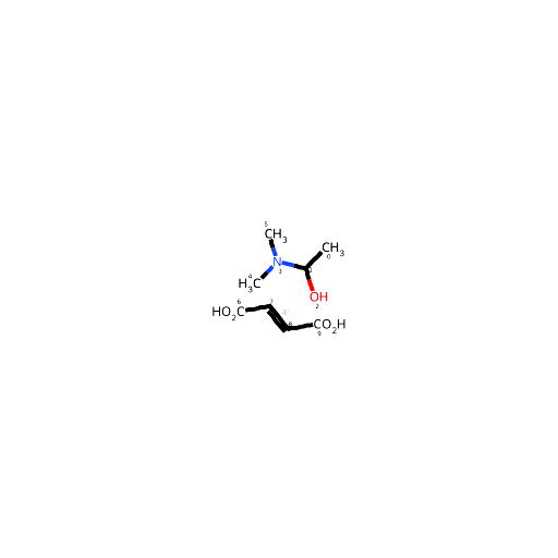 CC(O)N(C)C.O=C(O)/C=C/C(=O)O